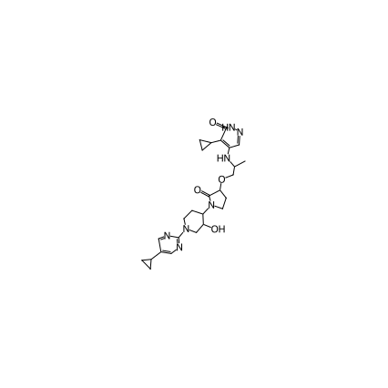 CC(COC1CCN(C2CCN(c3ncc(C4CC4)cn3)CC2O)C1=O)Nc1cn[nH]c(=O)c1C1CC1